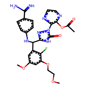 COCCOc1cc(OC)cc(C(Nc2ccc(C(=N)N)cc2)c2nn(-c3nccnc3OC(C)=O)c(=O)[nH]2)c1F